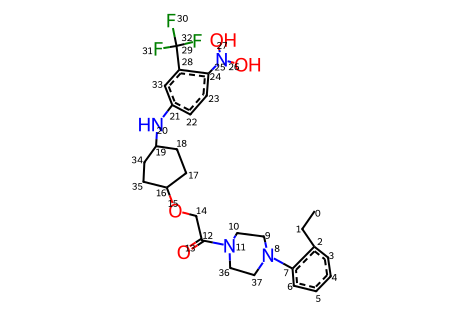 CCc1ccccc1N1CCN(C(=O)COC2CCC(Nc3ccc(N(O)O)c(C(F)(F)F)c3)CC2)CC1